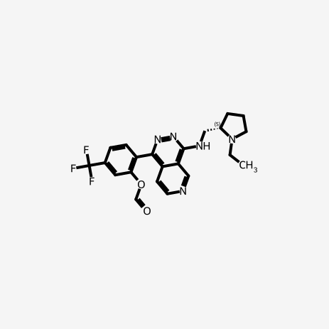 CCN1CCC[C@H]1CNc1nnc(-c2ccc(C(F)(F)F)cc2OC=O)c2ccncc12